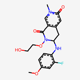 COc1ccc(NC2Cc3cc(=O)n(C)cc3C(=O)N2OCCO)c(F)c1